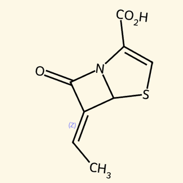 C/C=C1/C(=O)N2C(C(=O)O)=CSC12